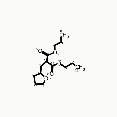 CCCOC(=O)C(CC1CCCO1)C(=O)OCCC